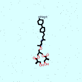 C=C(CO)C(=O)OCC(COC(=O)C(=C)CO)CO/C(C)=C/C=C(\C)CCC1CCC(C2CCC(CCCCCCC)CC2)CC1